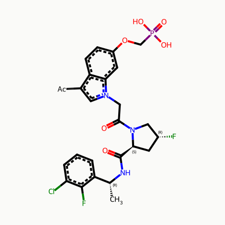 CC(=O)c1cn(CC(=O)N2C[C@H](F)C[C@H]2C(=O)N[C@H](C)c2cccc(Cl)c2F)c2cc(OCP(=O)(O)O)ccc12